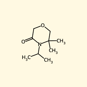 CC(C)N1C(=O)COCC1(C)C